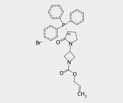 C=CCOC(=O)N1CC(N2CC[C@@H]([P+](c3ccccc3)(c3ccccc3)c3ccccc3)C2=O)C1.[Br-]